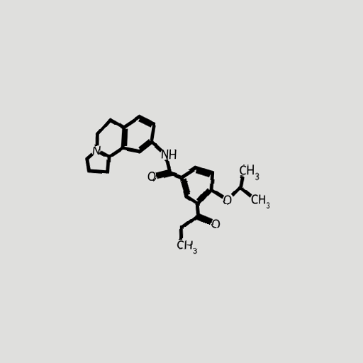 CCC(=O)c1cc(C(=O)Nc2ccc3c(c2)C2CCCN2CC3)ccc1OC(C)C